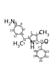 Cc1cc(C(C)c2ccc(N)cc2)[nH]c1C(=O)c1ccccc1